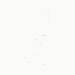 Cc1ccc(-c2cnc(-c3cccc(CN(Cc4ccccn4)Cc4ccccn4)n3)s2)cc1